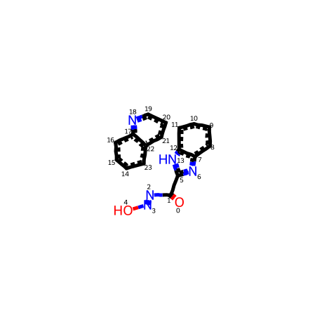 O=C(N=NO)c1nc2ccccc2[nH]1.c1ccc2ncccc2c1